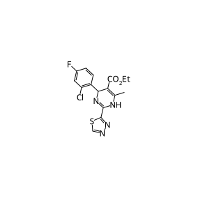 CCOC(=O)C1=C(C)NC(c2nncs2)=NC1c1ccc(F)cc1Cl